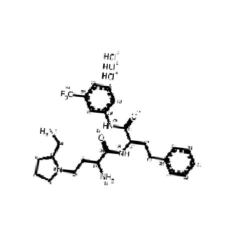 Cl.Cl.Cl.NCC1CCCN1CCC(N)C(=O)NC(CCc1ccccc1)C(=O)Nc1cccc(C(F)(F)F)c1